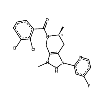 C[C@H]1CC2=C(CN1C(=O)c1cccc(Cl)c1Cl)N(C)NN2c1cc(F)ccn1